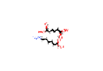 NCCCCCC(=O)O.O=C(O)CCCCC(=O)O